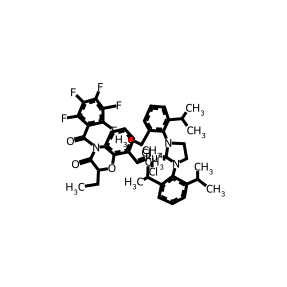 CCC1Oc2c([CH]=[Ru-4]([Cl])([Cl])=[C]3N(c4c(C(C)C)cccc4C(C)C)CCN3c3c(C(C)C)cccc3C(C)C)cccc2N(C(=O)c2c(F)c(F)c(F)c(F)c2F)C1=O